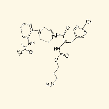 CS(=O)(=O)Nc1ccccc1N1CCN(C(=O)[C@@H](Cc2ccc(Cl)cc2)NC(=O)OCCCN)CC1